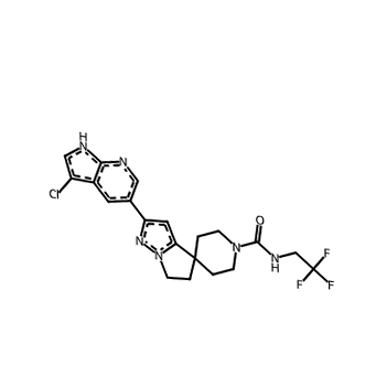 O=C(NCC(F)(F)F)N1CCC2(CC1)CCn1nc(-c3cnc4[nH]cc(Cl)c4c3)cc12